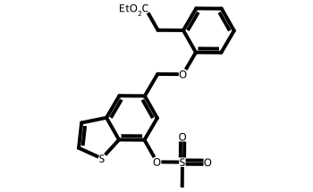 CCOC(=O)Cc1ccccc1OCc1cc(OS(C)(=O)=O)c2sccc2c1